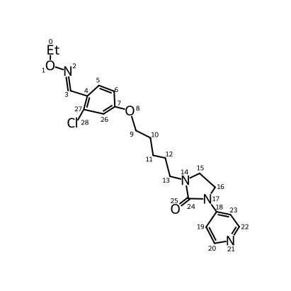 CCON=Cc1ccc(OCCCCCN2CCN(c3ccncc3)C2=O)cc1Cl